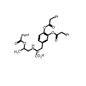 CCCC(C)C(=O)OC(C)CN[C@@H](Cc1ccc(OC(=O)CC(C)C)c(OC(=O)CC(C)C)c1)C(=O)O